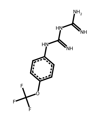 N=C(N)NC(=N)Nc1ccc(OC(F)(F)F)cc1